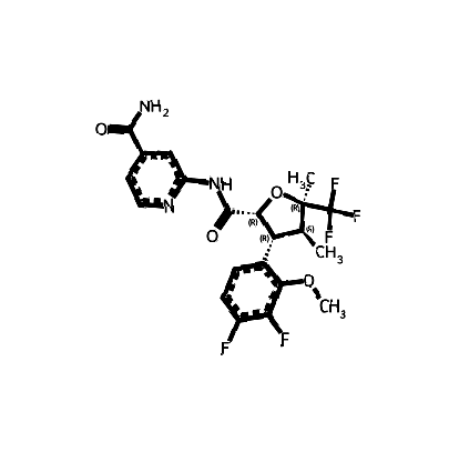 COc1c([C@@H]2[C@H](C(=O)Nc3cc(C(N)=O)ccn3)O[C@@](C)(C(F)(F)F)[C@H]2C)ccc(F)c1F